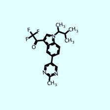 Cc1ncc(-c2ccc3c(c2)c(C(=O)C(F)(F)F)cn3C(C)C(C)C)cn1